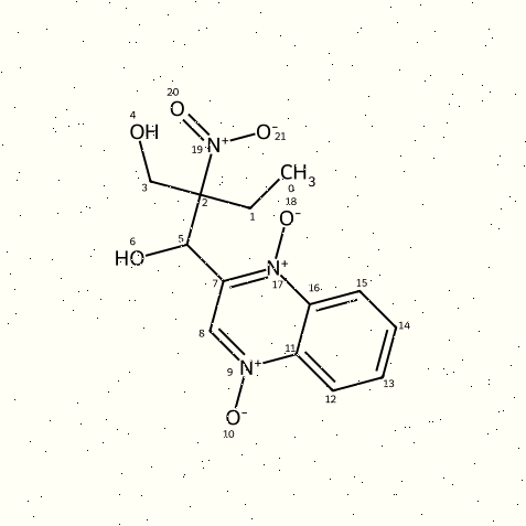 CCC(CO)(C(O)c1c[n+]([O-])c2ccccc2[n+]1[O-])[N+](=O)[O-]